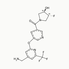 NCc1cc(Oc2cncc(C(=O)N3C[C@@H](O)[C@H](F)C3)c2)nc(C(F)(F)F)c1